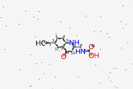 C#Cc1ccc2[nH]c(CNC(=O)O)cc(=O)c2c1